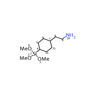 CO[Si](OC)(OC)C1CCC(CCN)CC1